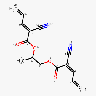 C=CC=C(C#N)C(=O)OCC(C)OC(=O)C(C#N)=CC=C